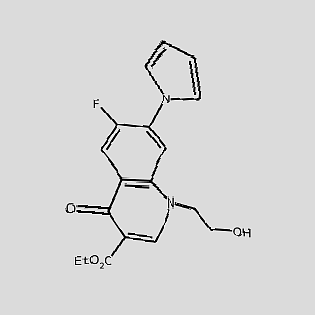 CCOC(=O)c1cn(CCO)c2cc(-n3cccc3)c(F)cc2c1=O